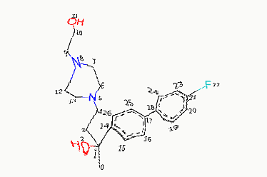 CC(O)(CCN1CCN(CCO)CC1)c1ccc(-c2ccc(F)cc2)cc1